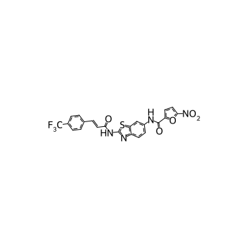 O=C(/C=C/c1ccc(C(F)(F)F)cc1)Nc1nc2ccc(NC(=O)c3ccc([N+](=O)[O-])o3)cc2s1